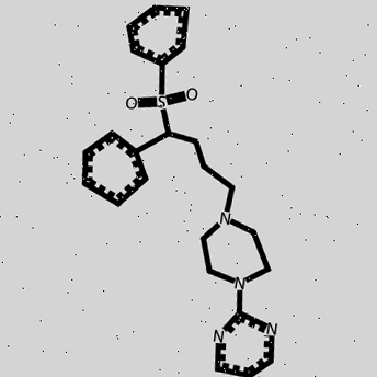 O=S(=O)(c1ccccc1)C(CCCN1CCN(c2ncccn2)CC1)c1ccccc1